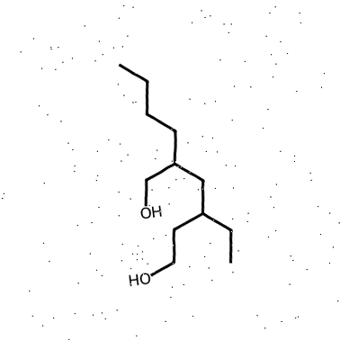 CCCCC(CO)CC(CC)CCO